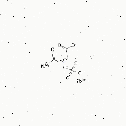 O=C([O-])/C=C\C(=O)[O-].O=S(=O)([O-])[O-].[Pb+2].[Pb+2]